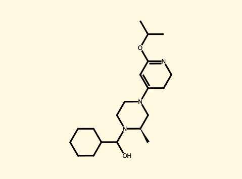 CC(C)OC1=NCCC(N2CCN(C(O)C3CCCCC3)[C@H](C)C2)=C1